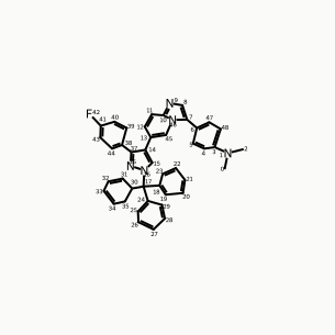 CN(C)c1ccc(-c2cnc3ccc(-c4cn(C(c5ccccc5)(c5ccccc5)C5C=CC=CC5)nc4-c4ccc(F)cc4)cn23)cc1